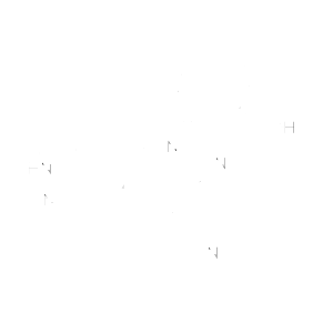 N#Cc1cc(-c2cn[nH]c2)cn2c(Cl)c(C(=O)O)nc12